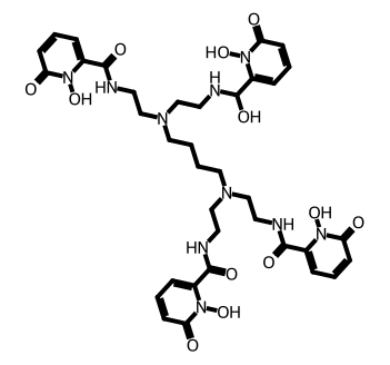 O=C(NCCN(CCCCN(CCNC(=O)c1cccc(=O)n1O)CCNC(O)c1cccc(=O)n1O)CCNC(=O)c1cccc(=O)n1O)c1cccc(=O)n1O